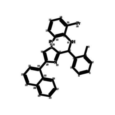 Cc1ccccc1C(Nc1c(C(C)C)cccc1C(C)C)c1nc(-c2cccc3ccccc23)cs1